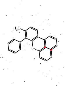 Cc1[c]cc(-c2ccccc2)c(Oc2ccccc2)c1-c1ccccc1